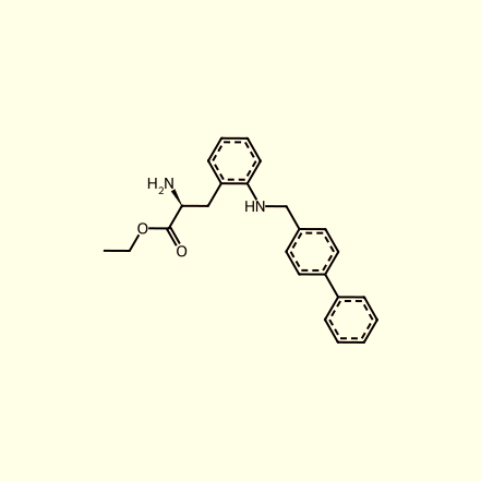 CCOC(=O)[C@@H](N)Cc1ccccc1NCc1ccc(-c2ccccc2)cc1